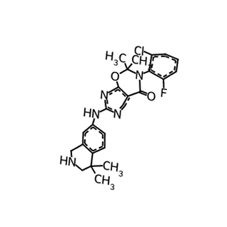 CC1(C)CNCc2cc(Nc3ncc4c(n3)OC(C)(C)N(c3c(F)cccc3Cl)C4=O)ccc21